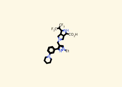 CCn1cc(CN2CC3C(C(=O)O)NC(C(C(F)(F)F)C(F)(F)F)C3C2)c(-c2cccc(N3CCCCC3)c2)n1